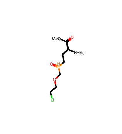 COC(=O)C(CC[PH](=O)COCCCl)NC(C)=O